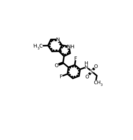 CCS(=O)(=O)Nc1ccc(F)c(C(=O)c2c[nH]c3ncc(C)cc23)c1F